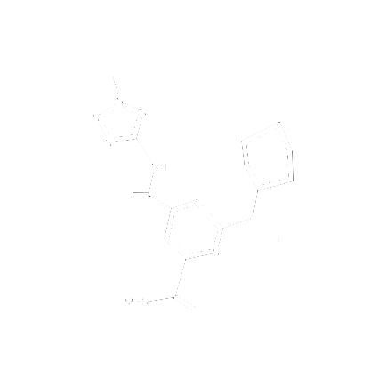 CNC(=O)c1cc(C(=O)Nc2nnn(C)n2)cc([C@@H](C)c2ccccc2)n1